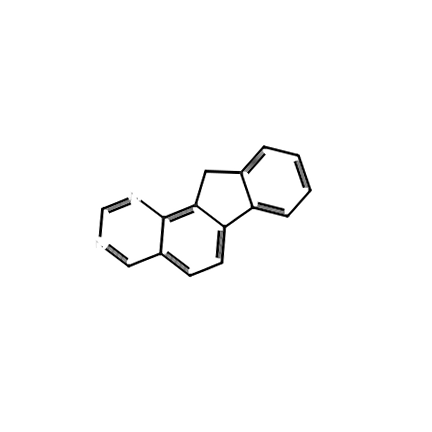 c1ccc2c(c1)Cc1c-2ccc2cncnc12